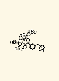 CCCCOCC1O[C@@H](c2cccc(Cc3ccc(C)s3)c2)[C@H](OCCCC)C(OCCCC)[C@@H]1OCCCC